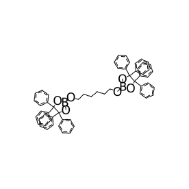 c1ccc(C2(c3ccccc3)OB(OCCCCCCOB3OC(c4ccccc4)(c4ccccc4)C(c4ccccc4)(c4ccccc4)O3)OC2(c2ccccc2)c2ccccc2)cc1